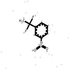 CC(F)(F)c1cccc([SH](=O)=O)c1